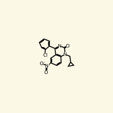 O=c1nc(-c2ccccc2Cl)c2cc([N+](=O)[O-])ccc2n1CC1CC1